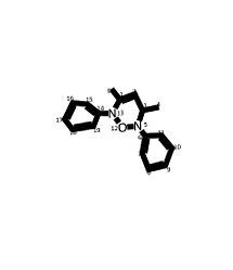 CC1=CC(C)N(c2ccccc2)ON1c1ccccc1